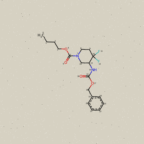 CCCCOC(=O)N1CCC(F)(F)C(NC(=O)OCc2ccccc2)C1